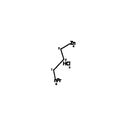 CCCCC[CH2][Zn].Cl